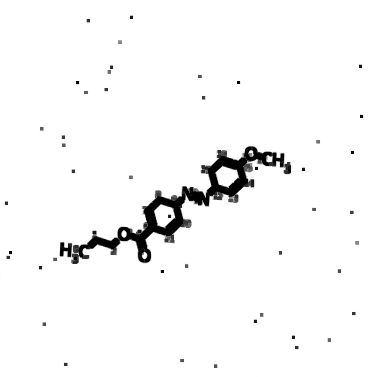 CCCOC(=O)C1=CCC(N=NC2C=CC(OC)=CC2)C=C1